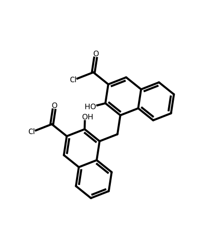 O=C(Cl)c1cc2ccccc2c(Cc2c(O)c(C(=O)Cl)cc3ccccc23)c1O